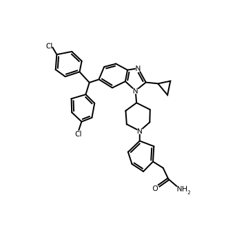 NC(=O)Cc1cccc(N2CCC(n3c(C4CC4)nc4ccc(C(c5ccc(Cl)cc5)c5ccc(Cl)cc5)cc43)CC2)c1